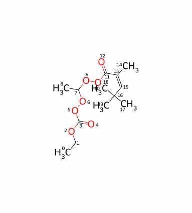 CCOC(=O)OOC(C)OOC(=O)/C(C)=C\C(C)(C)C